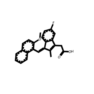 COc1ccc2ccccc2c1/C=C1/C(C)=C(CC(=O)O)c2cc(F)ccc21